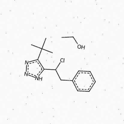 CC(C)(C)c1nn[nH]c1C(Cl)Cc1ccccc1.CCO